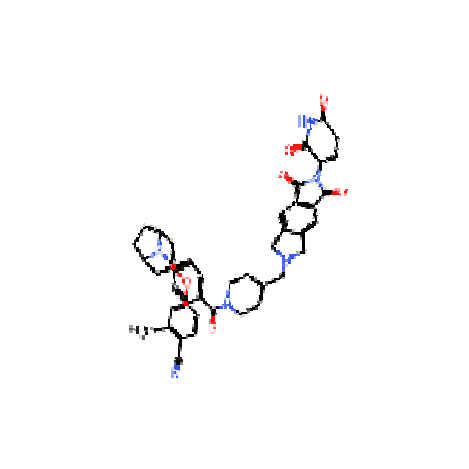 Cc1cc(OC2CC3CCC(C2)N3c2ccc(C(=O)N3CCC(CN4Cc5cc6c(cc5C4)C(=O)N(C4CCC(=O)NC4=O)C6=O)CC3)cc2)ccc1C#N